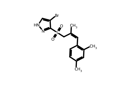 CC(=Cc1ccc(C)cc1C)CS(=O)(=O)c1n[nH]cc1Br